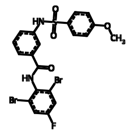 COc1ccc(S(=O)(=O)Nc2cccc(C(=O)Nc3c(Br)cc(F)cc3Br)c2)cc1